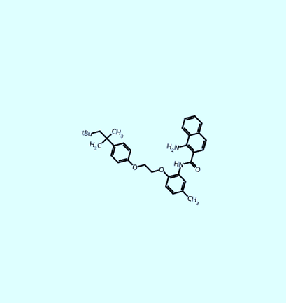 Cc1ccc(OCCOc2ccc(C(C)(C)CC(C)(C)C)cc2)c(NC(=O)c2ccc3ccccc3c2N)c1